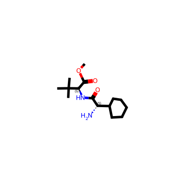 COC(=O)[C@@H](NC(=O)[C@@H](N)C1CCCCC1)C(C)(C)C